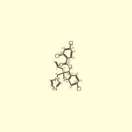 C=CC[C@]1(Cn2ccnc2)Sc2cc(Cl)ccc2[C@@H]1OC(=O)c1ccc(Cl)cc1Cl